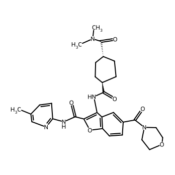 Cc1ccc(NC(=O)c2oc3ccc(C(=O)N4CCOCC4)cc3c2NC(=O)[C@H]2CC[C@H](C(=O)N(C)C)CC2)nc1